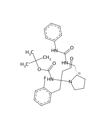 CC(C)(C)OC(=O)NC(CC=O)(Cc1ccccc1F)N1CCC[C@H]1CNC(=O)Nc1ccccc1